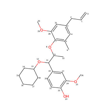 C=CCc1cc(C)c(OC(C)C(OC2CCCCC2)c2ccc(O)c(OC)c2)c(OC)c1